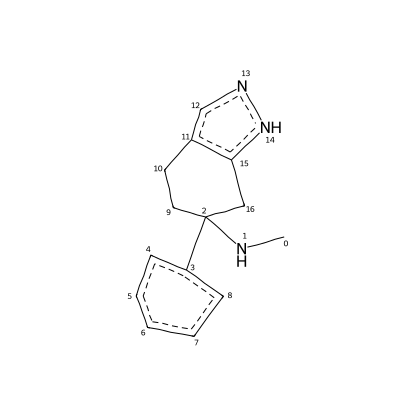 CNC1(c2ccccc2)CCc2cn[nH]c2C1